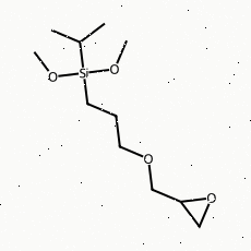 CO[Si](CCCOCC1CO1)(OC)C(C)C